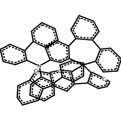 c1ccc(-c2ccccc2N(c2ccc3c(c2)C2(c4ccccc4-c4ccccc4-3)c3ccccc3-c3cc4c(cc32)oc2ccccc24)c2ccccc2-c2ccccc2)cc1